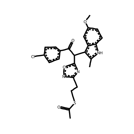 COc1ccc2[nH]c(C)c(C(C(=O)c3ccc(Cl)cc3)c3nc(CCSC(C)=O)no3)c2c1